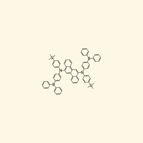 C[Si](C)(C)c1ccc(N(c2ccc(B(c3ccccc3)c3ccccc3)cc2)c2cc3c4ccccc4c(N(c4ccc(B(c5ccccc5)c5ccccc5)cc4)c4ccc([Si](C)(C)C)cc4)cc3c3ccccc23)cc1